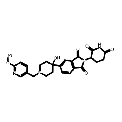 CC(C)Oc1ccc(CN2CCC(O)(c3ccc4c(c3)C(=O)N(C3CCC(=O)NC3=O)C4=O)CC2)cn1